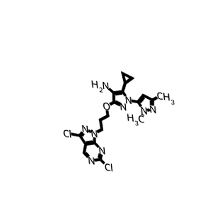 Cc1cc(-n2nc(OCCCn3nc(Cl)c4cnc(Cl)nc43)c(N)c2C2CC2)n(C)n1